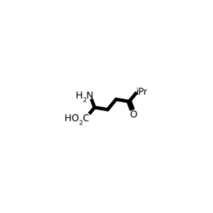 CC(C)C(=O)CCC(N)C(=O)O